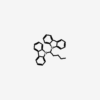 CCCC[C](n1c2ccccc2c2ccccc21)n1c2ccccc2c2ccccc21